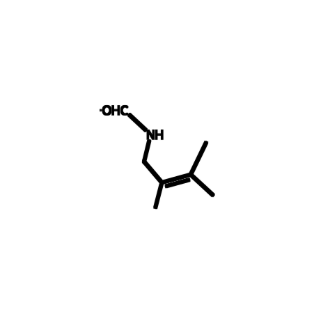 CC(C)=C(C)CN[C]=O